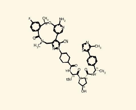 Cc1ncsc1-c1ccc([C@H](C)NC(=O)[C@@H]2C[C@@H](O)CN2C(=O)[C@@H](NC(=O)C2CCC(n3nc4c(c3C#N)-c3cnc(N)c(c3)O[C@H](C)c3cc(F)ccc3C(=O)N(C)C4)CC2)C(C)(C)C)cc1